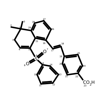 CC1(C)CC=C(S(=O)(=O)c2ccccc2)c2c(/C=C/c3ccc(C(=O)O)cc3)cccc21